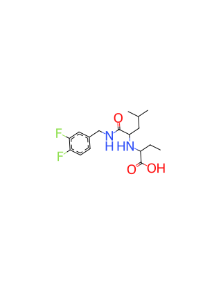 CCC(NC(CC(C)C)C(=O)NCc1ccc(F)c(F)c1)C(=O)O